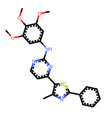 COc1cc(Nc2nccc(-c3sc(-c4ccccc4)nc3C)n2)cc(OC)c1OC